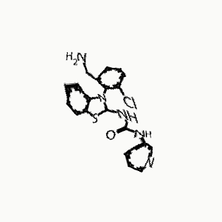 NCc1cccc(Cl)c1N1c2ccccc2SC1NC(=O)Nc1cccnc1